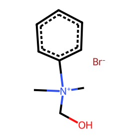 C[N+](C)(CO)c1ccccc1.[Br-]